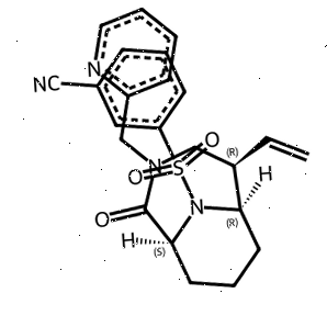 C=C[C@@H]1CN(Cc2ccccn2)C(=O)[C@@H]2CCC[C@H]1N2S(=O)(=O)c1cccc(C#N)c1